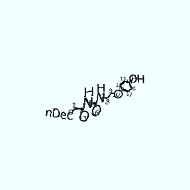 CCCCCCCCCCCC(=O)NC(=O)NCCOc1ccc(O)cc1